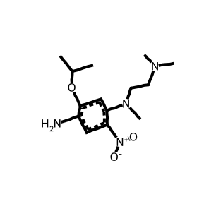 CC(C)Oc1cc(N(C)CCN(C)C)c([N+](=O)[O-])cc1N